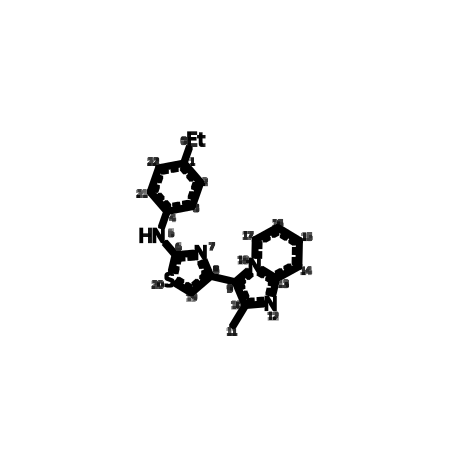 CCc1ccc(Nc2nc(-c3c(C)nc4ccccn34)cs2)cc1